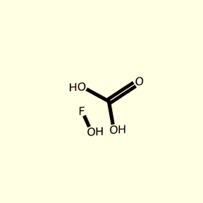 O=C(O)O.OF